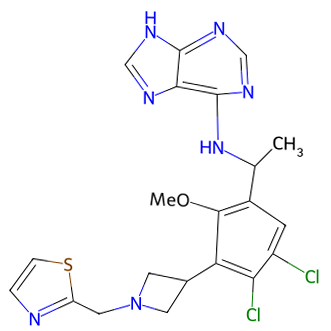 COc1c(C(C)Nc2ncnc3[nH]cnc23)cc(Cl)c(Cl)c1C1CN(Cc2nccs2)C1